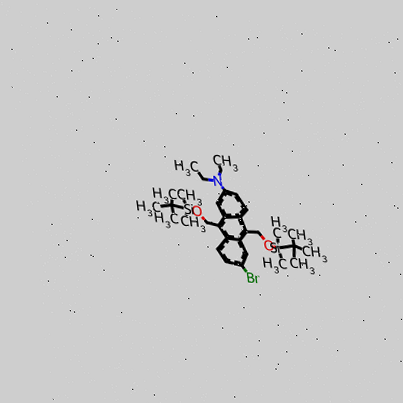 CCN(CC)c1ccc2c(CO[Si](C)(C)C(C)(C)C)c3cc(Br)ccc3c(CO[Si](C)(C)C(C)(C)C)c2c1